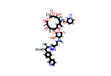 CC[C@H]1OC(=O)[C@H](C)C(=O)[C@H](C)[C@@H](O[C@@H]2O[C@H](C)C[C@H](N(C)CCc3cn([C@H](CF)[C@H](OC)c4ccc(-c5cccnc5)cc4)nn3)[C@H]2O)[C@@]2(C)C[C@@H](CO2)/C(=N\O[C@@H]2CCCNC2)[C@H](C)[C@@H](O)[C@]1(C)O